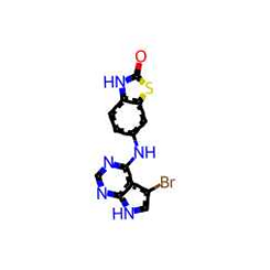 O=c1[nH]c2ccc(Nc3ncnc4[nH]cc(Br)c34)cc2s1